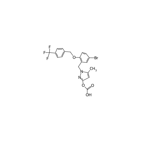 Cc1cc(OC(=O)O)nn1Cc1cc(Br)ccc1OCc1ccc(C(F)(F)F)cc1